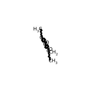 C=C(CCCCCC)OC(=O)c1ccc(OC(=O)c2ccc(OCCCCCC)cc2)cc1